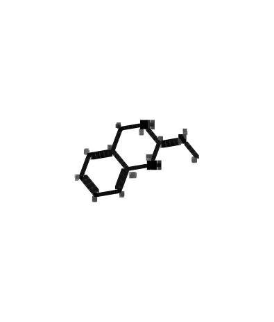 CN=C1NCc2ccccc2N1